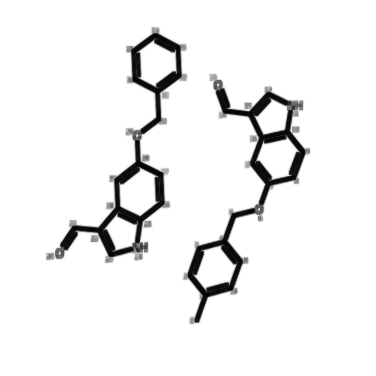 Cc1ccc(COc2ccc3[nH]cc(C=O)c3c2)cc1.O=Cc1c[nH]c2ccc(OCc3ccccc3)cc12